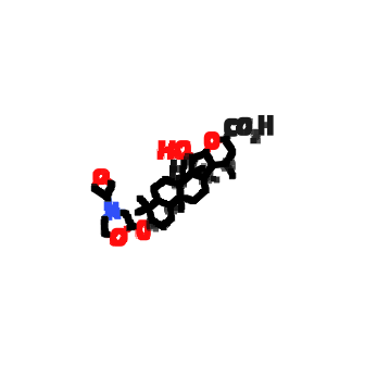 C[C@@H]1CC(C(=O)O)OC2C1[C@@]1(C)CCC34C[C@@]35CC[C@H](OC3CN(C6COC6)CCO3)C(C)(C)C5CC[C@H]4C1(C)[C@H]2O